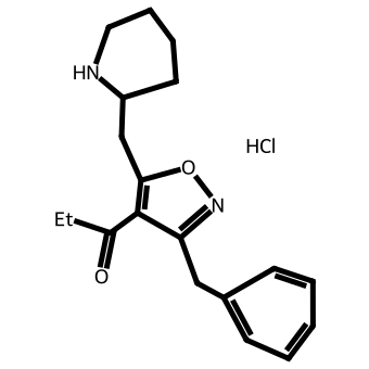 CCC(=O)c1c(Cc2ccccc2)noc1CC1CCCCN1.Cl